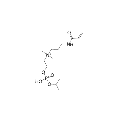 C=CC(=O)NCCC[N+](C)(C)CCOP(=O)(O)OC(C)C